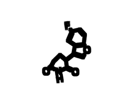 O=C1CCC(c2coc3ccc(F)cc23)C(=O)N1